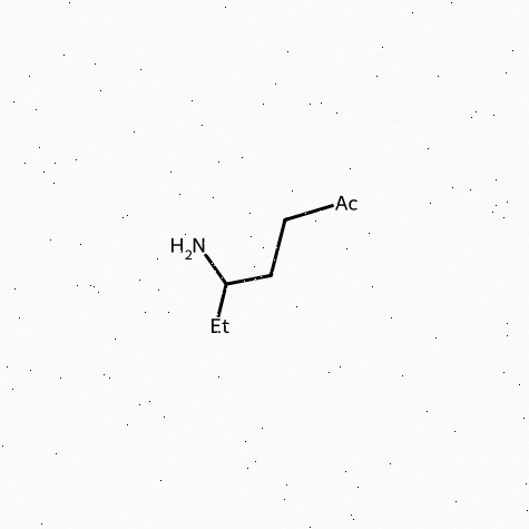 CCC(N)CCC(C)=O